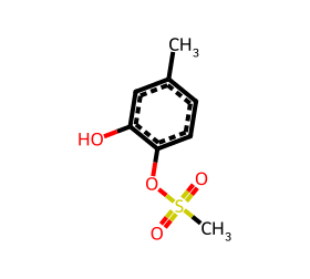 Cc1ccc(OS(C)(=O)=O)c(O)c1